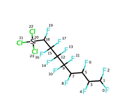 FC(F)C(F)C(F)C(F)C(F)(F)C(F)(F)C(F)(F)C(F)[Si](Cl)(Cl)Cl